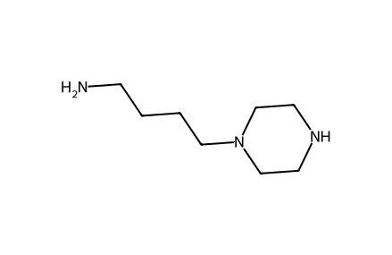 NCCCCN1CCNCC1